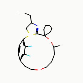 COCC1C[SH]2C(=N1)C1(CCCCC1)OC(C)CCCOCCc1ccc2c(F)c1F